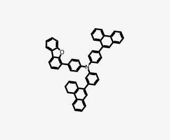 C1=Cc2c(-c3cccc(N(c4ccc(-c5cc6ccccc6c6ccccc56)cc4)c4ccc(-c5cccc6c5oc5ccccc56)cc4)c3)cc3ccccc3c2CC1